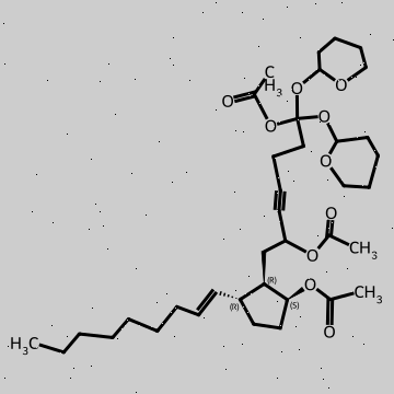 CCCCCCCC=C[C@H]1CC[C@H](OC(C)=O)[C@@H]1CC(C#CCCC(OC(C)=O)(OC1CCCCO1)OC1CCCCO1)OC(C)=O